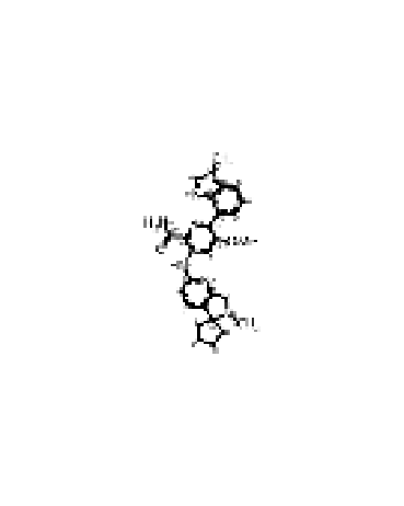 COc1cc(Nc2ccc3c(n2)CN(C)C32CCCC2)c(C(N)=O)nc1-c1cccc2c1ncn2C